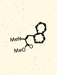 CNC(=Cc1cccc2ccccc12)C(=O)OC